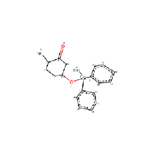 CC(C)(C)[Si](OC1CCC(C#N)C(=O)C1)(c1ccccc1)c1ccccc1